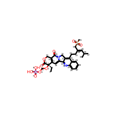 CC[C@@]1(OCOP(=O)(O)O)C(=O)OCc2c1cc1n(c2=O)Cc2c-1nc1ccccc1c2CC/C(=C\C(C)C)CS(C)(=O)=O